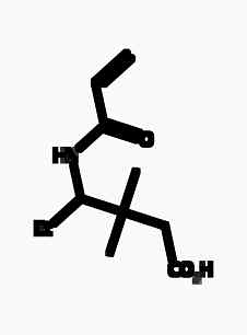 C=CC(=O)NC(CC)C(C)(C)CC(=O)O